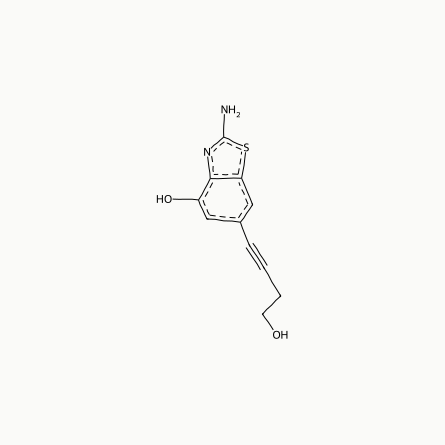 Nc1nc2c(O)cc(C#CCCO)cc2s1